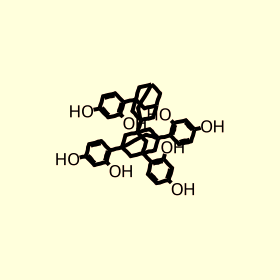 Oc1ccc(C23CC4CC(C2)CC(C25CC6(c7ccc(O)cc7O)CC(c7ccc(O)cc7O)(CC(c7ccc(O)cc7O)(C6)C2)C5)(C4)C3)c(O)c1